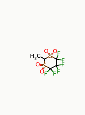 CC1S(=O)(=O)C(F)(F)C(F)(F)C(F)(F)S1(=O)=O